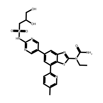 CCN(C(N)=O)c1nc2cc(-c3cnc(NS(=O)(=O)CC(O)CO)nc3)cc(-c3ccc(C)cn3)c2s1